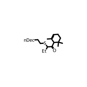 CCCCCCCCCCCCSC(CC)C(=O)C1C(C)=CCCC1(C)C